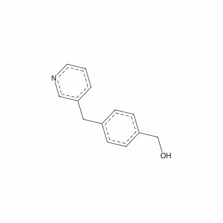 OCc1ccc(Cc2cccnc2)cc1